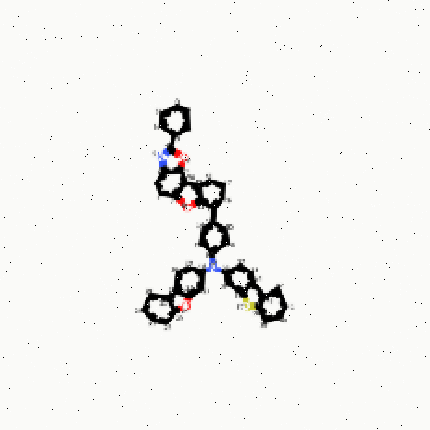 c1ccc(-c2nc3ccc4oc5c(-c6ccc(N(c7ccc8c(c7)oc7ccccc78)c7ccc8c(c7)sc7ccccc78)cc6)cccc5c4c3o2)cc1